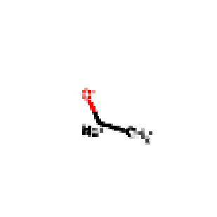 [CH2]C[O-].[Na+]